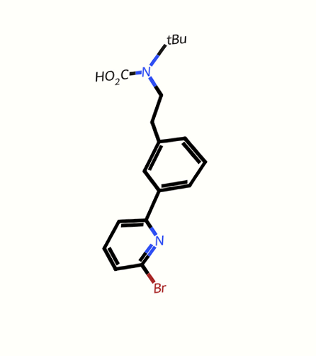 CC(C)(C)N(CCc1cccc(-c2cccc(Br)n2)c1)C(=O)O